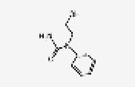 NC(=O)N(CCO)c1cc[c]cc1